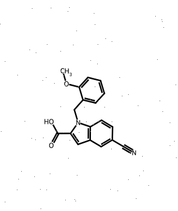 COc1ccccc1Cn1c(C(=O)O)cc2cc(C#N)ccc21